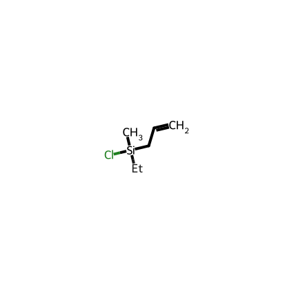 C=CC[Si](C)(Cl)CC